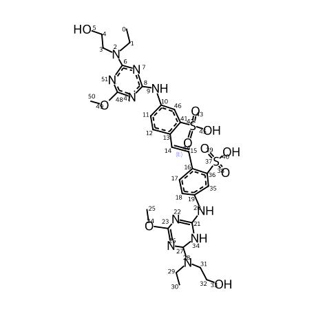 CCN(CCO)c1nc(Nc2ccc(/C=C/c3ccc(NC4=NC(OC)=NC(N(CC)CCO)N4)cc3S(=O)(=O)O)c(S(=O)(=O)O)c2)nc(OC)n1